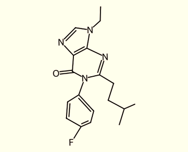 CCn1cnc2c(=O)n(-c3ccc(F)cc3)c(CCC(C)C)nc21